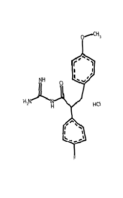 COc1ccc(CC(C(=O)NC(=N)N)c2ccc(F)cc2)cc1.Cl